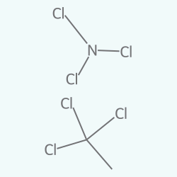 CC(Cl)(Cl)Cl.ClN(Cl)Cl